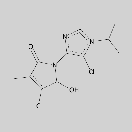 CC1=C(Cl)C(O)N(c2ncn(C(C)C)c2Cl)C1=O